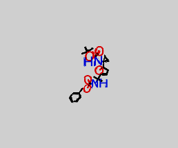 CC(C)(C)OC(=O)NC1(c2ccc(C(C)(C)NC(=O)OCc3ccccc3)o2)CC1